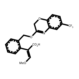 CO/C=C(/C(=O)O)c1ccccc1COC1=Nc2cc(C(F)(F)F)ccc2OC1